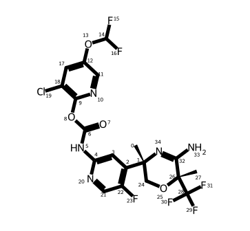 C[C@]1(c2cc(NC(=O)Oc3ncc(OC(F)F)cc3Cl)ncc2F)CO[C@@](C)(C(F)(F)F)C(N)=N1